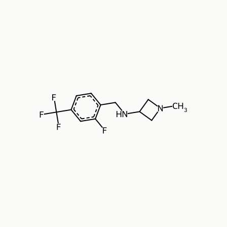 CN1CC(NCc2ccc(C(F)(F)F)cc2F)C1